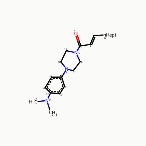 CCCCCCCC=CC(=O)N1CCN(c2ccc(N(C)C)cc2)CC1